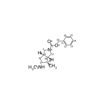 CN[C@@H]1C[C@@H]2CN(C(=O)OCc3ccccc3)C[C@@H]2[C@H]1C